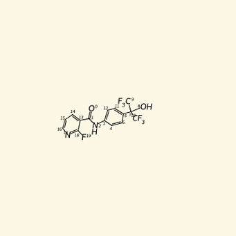 O=C(Nc1ccc(C(O)(C(F)(F)F)C(F)(F)F)cc1)c1cccnc1F